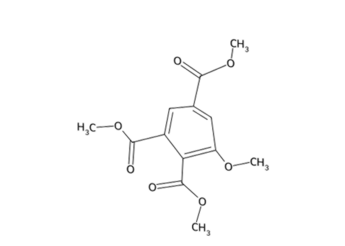 COC(=O)c1cc(OC)c(C(=O)OC)c(C(=O)OC)c1